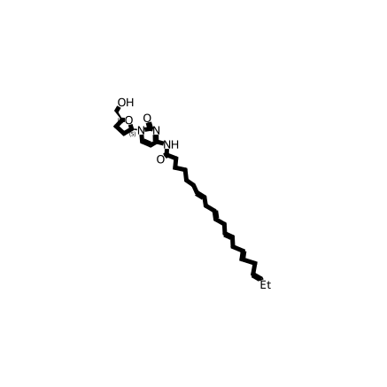 CCC=CCC=CCC=CCC=CCC=CCCCCCC(=O)Nc1ccn([C@@H]2CC[C@@H](CO)O2)c(=O)n1